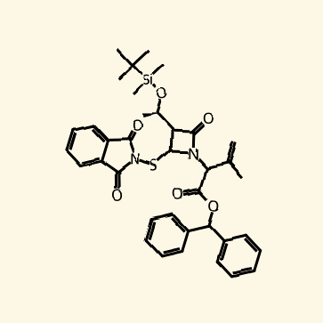 C=C(C)C(C(=O)OC(c1ccccc1)c1ccccc1)N1C(=O)C([C@@H](C)O[Si](C)(C)C(C)(C)C)C1SN1C(=O)c2ccccc2C1=O